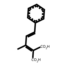 CC(C=Cc1ccccc1)=C(C(=O)O)C(=O)O